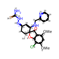 COc1cc(OC)c2c(c1Cl)O[C@]1(C2=O)C(NCc2ccccn2)=C/C(=N\NC(N)=S)C[C@H]1C